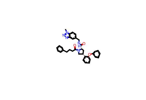 Cn1nnc2cc(CNC(=O)[C@@H]3C[C@H](c4ccccc4Oc4ccccc4)CN3C(=O)CCCc3ccccc3)ccc21